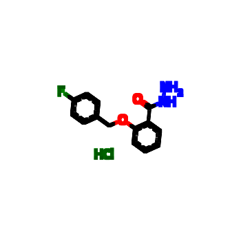 Cl.NNC(=O)c1ccccc1OCc1ccc(F)cc1